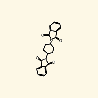 O=C1c2ccccc2C(=O)N1C1CCC(N2C(=O)c3ccccc3C2=O)CC1